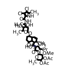 C=C1CCC(OC2CC(O)(C(C)NC(=O)c3[nH]c(C)c(Cl)c3Cl)C(O)C(C)O2)C2C=CC(C)C(/C(O)=C3/C(=O)N(C4OC(C)C(OC(C)=O)C(OC(C)=O)C4OC)C(C(C)C)C3O)C12